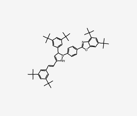 CC(C)(C)c1cc(C=CC2=CC(c3cc(C(C)(C)C)cc(C(C)(C)C)c3)N(c3ccc(-c4nc5c(C(C)(C)C)cc(C(C)(C)C)cc5o4)cc3)N2)cc(C(C)(C)C)c1